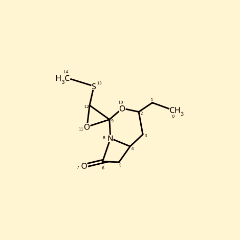 CCC1CC2CC(=O)N2C2(O1)OC2SC